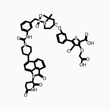 CC1(C)C[C@H](Oc2cccc(-c3sc(C(=O)O)c(OCC(=O)O)c3Cl)c2)CCN1S(=O)(=O)Cc1cccc(NC(=O)N2CCC(c3ccc4c5c(cccc35)C(=O)N4C3CCC(=O)NC3=O)CC2)c1